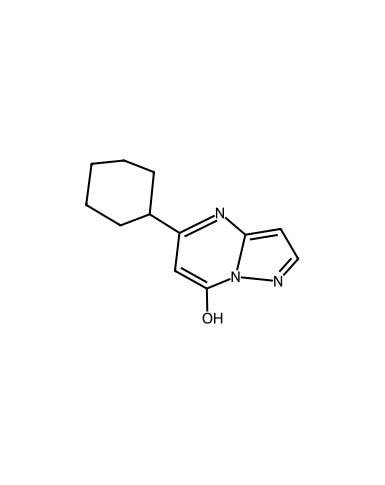 Oc1cc(C2CCCCC2)nc2ccnn12